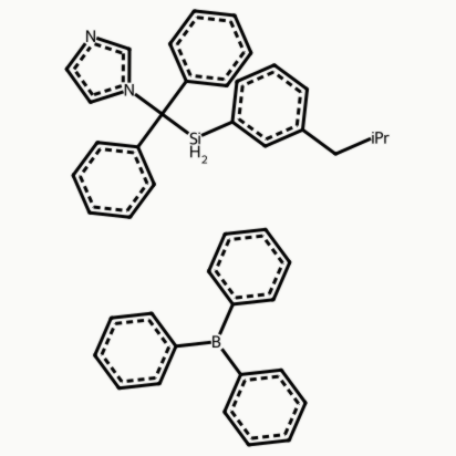 CC(C)Cc1cccc([SiH2]C(c2ccccc2)(c2ccccc2)n2ccnc2)c1.c1ccc(B(c2ccccc2)c2ccccc2)cc1